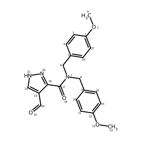 COc1ccc(CN(Cc2ccc(OC)cc2)C(=O)c2n[nH]cc2C=O)cc1